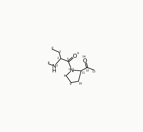 CCC(NC)C(=O)N1CCCC1C(C)=O